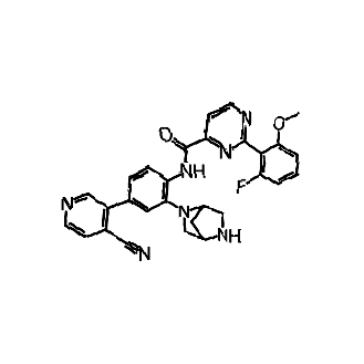 COc1cccc(F)c1-c1nccc(C(=O)Nc2ccc(-c3cnccc3C#N)cc2N2CC3CC2CN3)n1